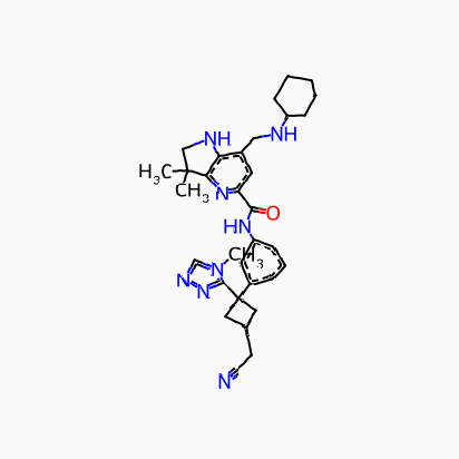 Cn1cnnc1C1(c2cccc(NC(=O)c3cc(CNC4CCCCC4)c4c(n3)C(C)(C)CN4)c2)CC(CC#N)C1